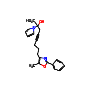 Cc1oc(-c2ccccc2)nc1CCCC#CCC(O)(C(=O)O)n1cccc1